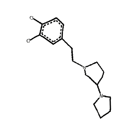 Clc1ccc(CCN2CCC(N3CCCC3)C2)cc1Cl